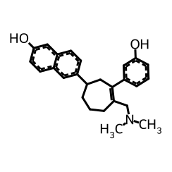 CN(C)CC1=C(c2cccc(O)c2)CC(c2ccc3cc(O)ccc3c2)CCC1